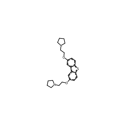 c1cc2sc3ccc(OCCN4CCCC4)cc3c2cc1OCCN1CCCC1